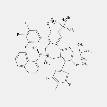 COc1c(C(C)(C)C)cc2c(c1-c1cc(F)c(F)c(F)c1)C[N+](C)([C@H](C)c1cccc3ccccc13)Cc1c-2cc(C(C)(C)C)c(OC)c1-c1cc(F)c(F)c(F)c1.[Br-]